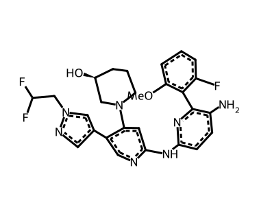 COc1cccc(F)c1-c1nc(Nc2cc(N3CCC[C@H](O)C3)c(-c3cnn(CC(F)F)c3)cn2)ccc1N